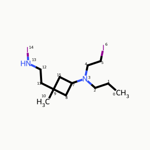 CCCN(CCI)C1CC(C)(CCNI)C1